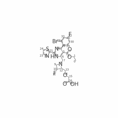 CCOC(=O)C1=C(CN2CC(F)C2COCC(=O)O)NC(c2nccs2)=N[C@H]1c1ccc(F)cc1Br